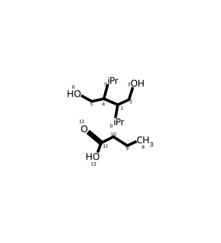 CC(C)C(CO)C(CO)C(C)C.CCCC(=O)O